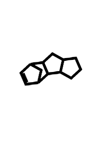 C1=CC2CC1C1CC3CCCC3C21